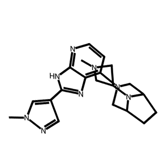 CN1CC(N2C3CCC2CN(c2ccnc4[nH]c(-c5cnn(C)c5)nc24)C3)C1